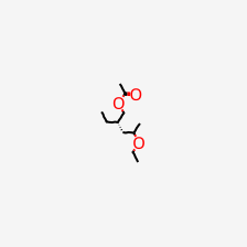 CCOC(C)C[C@H](CC)COC(C)=O